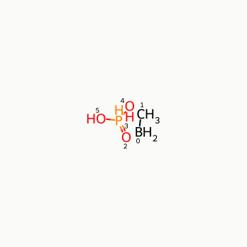 BC.O=[PH](O)O